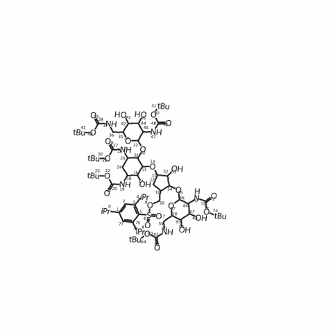 CC(C)c1cc(C(C)C)c(S(=O)(=O)OCC2CC(OC3C(O)C(NC(=O)OC(C)(C)C)CC(NC(=O)OC(C)(C)C)C3OC3OC(CNC(=O)OC(C)(C)C)C(O)C(O)C3NC(=O)OC(C)(C)C)C(O)C2OC2OC(CNC(=O)OC(C)(C)C)C(O)C(O)C2NC(=O)OC(C)(C)C)c(C(C)C)c1